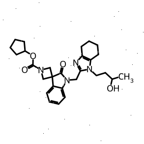 CC(O)CCn1c(CN2C(=O)C3(CN(C(=O)OC4CCCC4)C3)c3ccccc32)nc2c1CCCC2